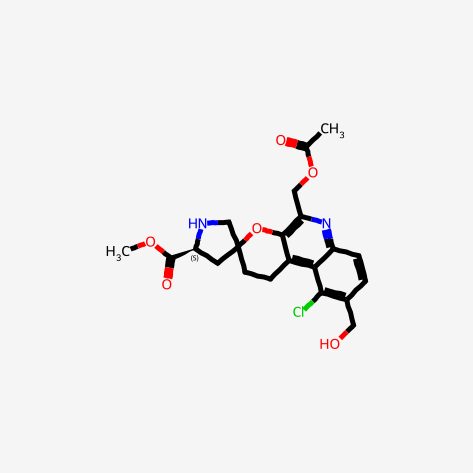 COC(=O)[C@@H]1CC2(CCc3c(c(COC(C)=O)nc4ccc(CO)c(Cl)c34)O2)CN1